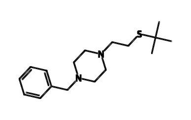 CC(C)(C)SCCN1CCN(Cc2ccccc2)CC1